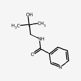 CC(C)(O)CNC(=O)c1cccnc1